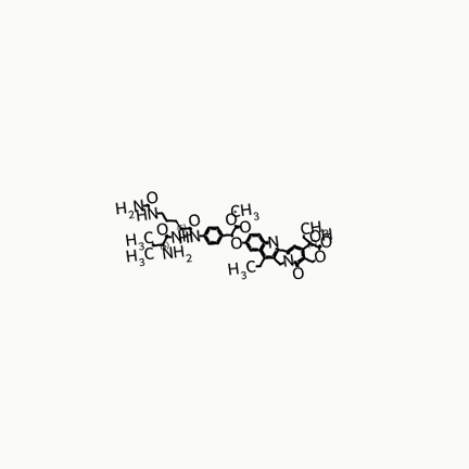 CCc1c2c(nc3ccc(OC(C(=O)OC)c4ccc(NC(=O)[C@H](CCCNC(N)=O)NC(=O)[C@@H](N)C(C)C)cc4)cc13)-c1cc3c(c(=O)n1C2)COC(=O)[C@]3(O)CC